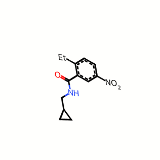 CCc1ccc([N+](=O)[O-])cc1C(=O)NCC1CC1